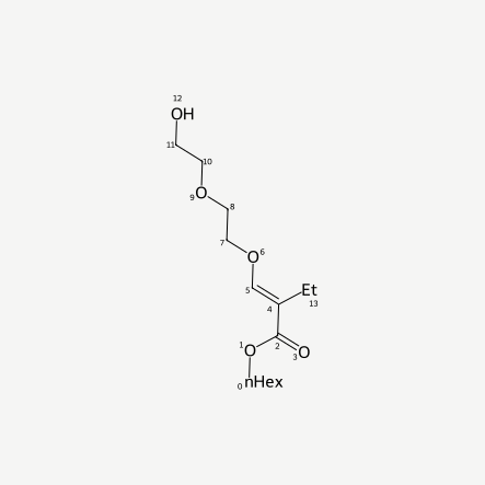 CCCCCCOC(=O)C(=COCCOCCO)CC